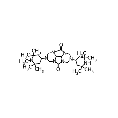 CN1C(C)(C)CC(N2CN3C(=O)N4CN(C5CC(C)(C)NC(C)(C)C5)CN5C(=O)N(C2)C3C45)CC1(C)C